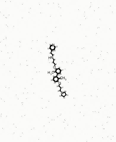 Cc1c(OCCCNCCc2ccncc2)cccc1-c1cccc(OCCCN2CCCC2)c1C